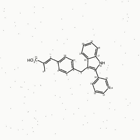 C/C(=C\c1ccc(Cc2c(-c3cccnc3)[nH]c3ccccc23)cc1)C(=O)O